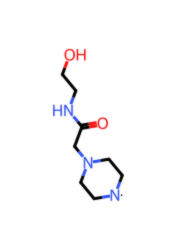 O=C(CN1CC[N]CC1)NCCO